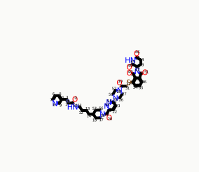 O=C(/C=C/c1cccnc1)NCCCCC1CCN(C(=O)c2ccc(N3CCN(C(=O)CSc4cccc5c4C(=O)N(C4CCC(=O)NC4=O)C5=O)CC3)nn2)CC1